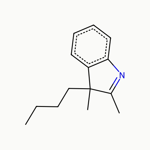 CCCCC1(C)C(C)=Nc2ccccc21